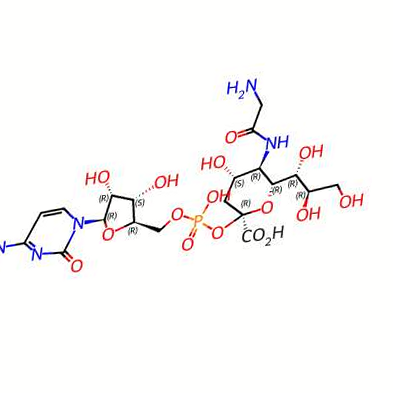 NCC(=O)N[C@H]1[C@H]([C@H](O)[C@H](O)CO)O[C@](OP(=O)(O)OC[C@H]2O[C@@H](n3ccc(N)nc3=O)[C@H](O)[C@@H]2O)(C(=O)O)C[C@@H]1O